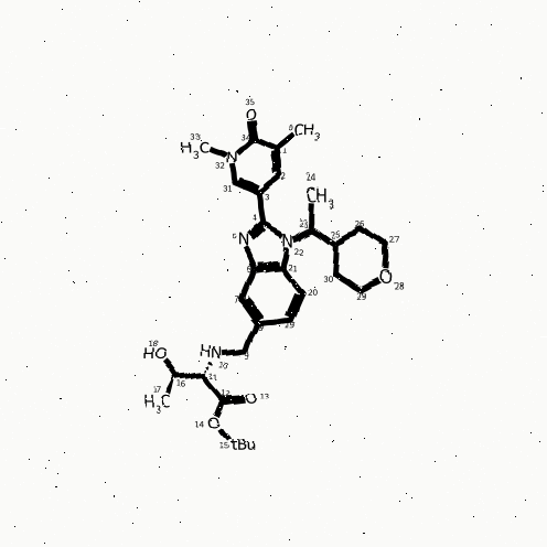 Cc1cc(-c2nc3cc(CN[C@H](C(=O)OC(C)(C)C)[C@@H](C)O)ccc3n2C(C)C2CCOCC2)cn(C)c1=O